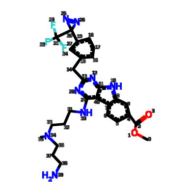 COC(=O)c1ccc2c(c1)[nH]c1nc(Cc3cccc(C4(C(F)(F)F)N=N4)c3)nc(NCCCN(C)CCCN)c12